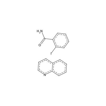 NC(=O)c1ccccc1I.c1ccc2ncccc2c1